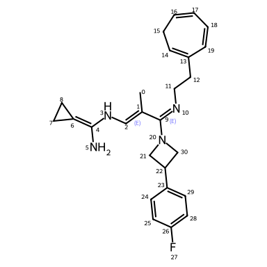 CC(=C\NC(N)=C1CC1)/C(=N\CCC1=CCC=CC=C1)N1CC(c2ccc(F)cc2)C1